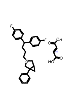 Fc1ccc(C(CCCN2CC3CC3(c3ccccc3)C2)c2ccc(F)cc2)cc1.O=C(O)/C=C/C(=O)O